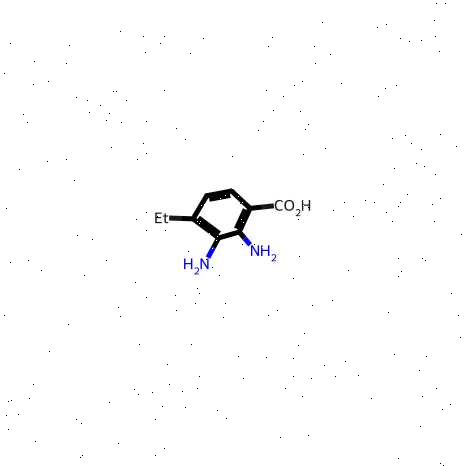 CCc1ccc(C(=O)O)c(N)c1N